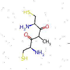 CC(C(=O)[C@@H](N)CS)C(=O)[C@@H](N)CS